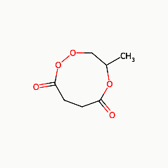 CC1COOC(=O)CCC(=O)O1